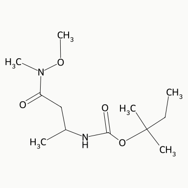 CCC(C)(C)OC(=O)NC(C)CC(=O)N(C)OC